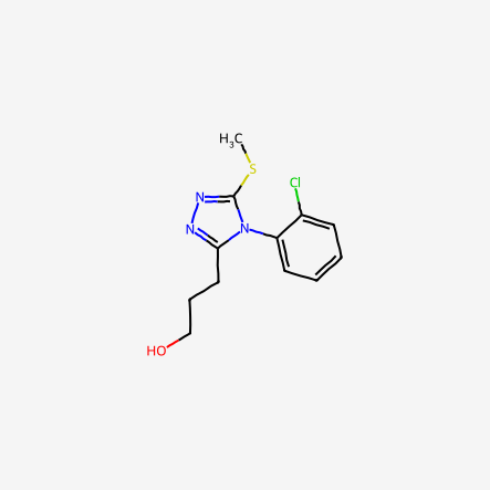 CSc1nnc(CCCO)n1-c1ccccc1Cl